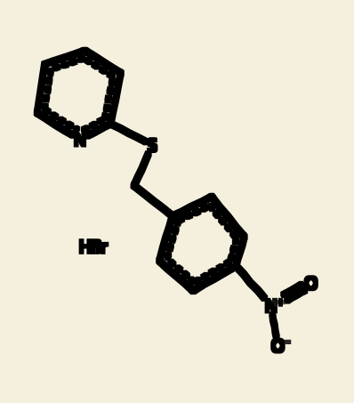 Br.O=[N+]([O-])c1ccc(CSc2ccccn2)cc1